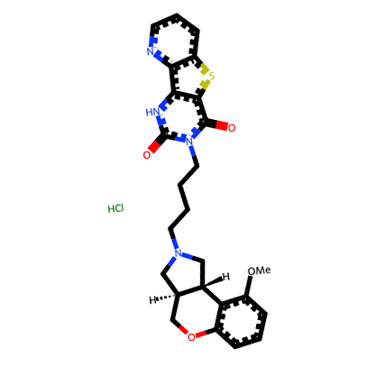 COc1cccc2c1[C@H]1CN(CCCCn3c(=O)[nH]c4c(sc5cccnc54)c3=O)C[C@@H]1CO2.Cl